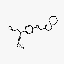 CC#C[C@@H](CC=O)c1ccc(OCC2=CC3(CCCCC3)CC2)cc1